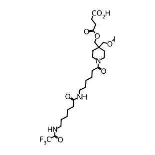 O=C(O)CCC(=O)OCC1(COI)CCN(C(=O)CCCCCNC(=O)CCCCCNC(=O)C(F)(F)F)CC1